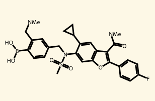 CNCc1cc(CN(c2cc3oc(-c4ccc(F)cc4)c(C(=O)NC)c3cc2C2CC2)S(C)(=O)=O)ccc1B(O)O